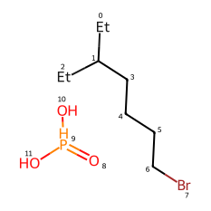 CCC(CC)CCCCBr.O=[PH](O)O